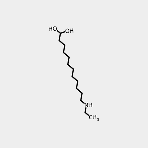 CCNCCCCCCCCCCCC(O)O